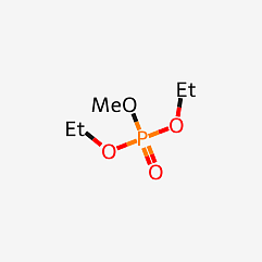 CCOP(=O)(OC)OCC